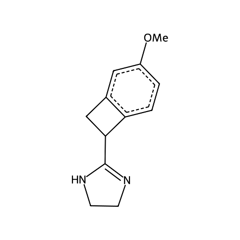 COc1ccc2c(c1)CC2C1=NCCN1